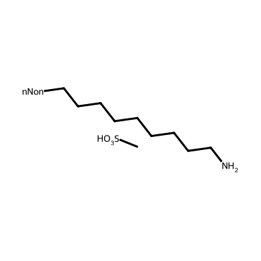 CCCCCCCCCCCCCCCCCCN.CS(=O)(=O)O